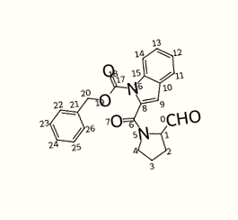 O=CC1CCCN1C(=O)c1cc2ccccc2n1C(=O)OCc1ccccc1